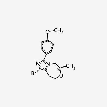 COc1ccc(-c2nc(Br)c3n2C[C@@H](C)OCC3)cc1